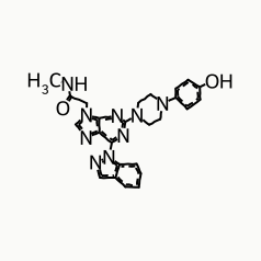 CNC(=O)Cn1cnc2c(-n3ncc4ccccc43)nc(N3CCN(c4ccc(O)cc4)CC3)nc21